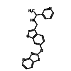 CC(NCc1coc2cc(Oc3nc4ncccc4s3)ccc12)c1cccnc1